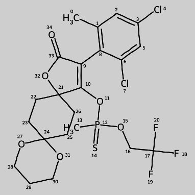 Cc1cc(Cl)cc(Cl)c1C1=C(OP(C)(=S)OCC(F)(F)F)C2(CCC3(CC2)OCCCO3)OC1=O